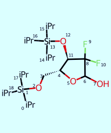 CC(C)[Si](OC[C@H]1OC(O)C(F)(F)[C@@H]1O[Si](C(C)C)(C(C)C)C(C)C)(C(C)C)C(C)C